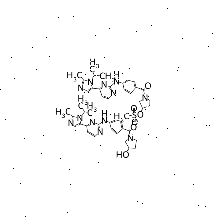 Cc1ncc(-c2ccnc(Nc3ccc(C(=O)N4CC[C@@H](O)C4)cc3)n2)n1C(C)C.Cc1ncc(-c2ccnc(Nc3ccc(C(=O)N4CC[C@@H](OS(C)(=O)=O)C4)cc3)n2)n1C(C)C